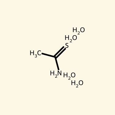 CC(N)=S.O.O.O.O